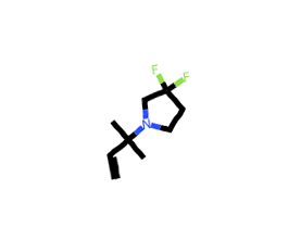 C=CC(C)(C)N1CCC(F)(F)C1